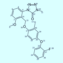 COc1cccc(-n2nnn(C)c2=O)c1COc1ccc(Oc2ccccc2F)cc1C